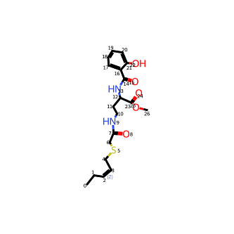 CC/C=C\CSCC(=O)NCCC(NC(=O)c1ccccc1O)C(=O)OC